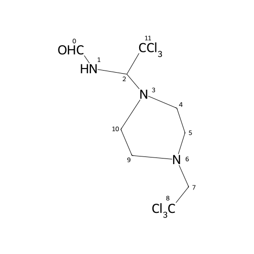 O=CNC(N1CCN(CC(Cl)(Cl)Cl)CC1)C(Cl)(Cl)Cl